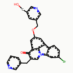 O=c1c(Cc2cccnc2)cn2c3cc(Br)ccc3c3cc(OCc4cncc(CO)c4)cc1c32